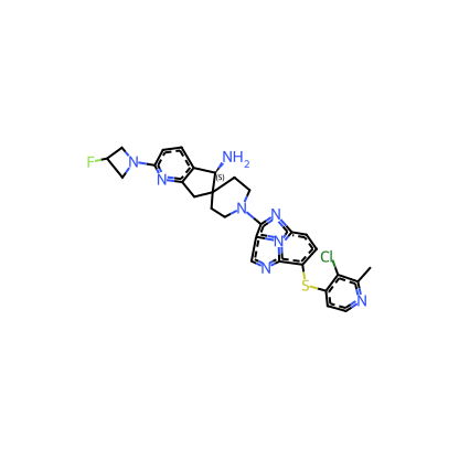 Cc1nccc(Sc2ccc3nc(N4CCC5(CC4)Cc4nc(N6CC(F)C6)ccc4[C@H]5N)c4cnc2n34)c1Cl